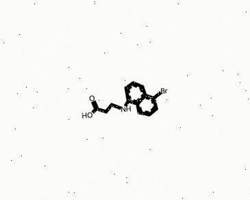 O=C(O)CCNc1cccc2c(Br)cccc12